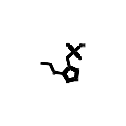 CCSc1nnnn1CS(=O)(=O)O